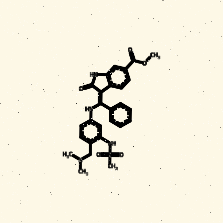 COC(=O)c1ccc2c(c1)NC(=O)/C2=C(\Nc1ccc(CN(C)C)c(NS(C)(=O)=O)c1)c1ccccc1